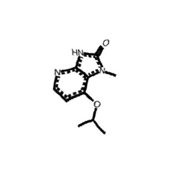 CC(C)Oc1ccnc2[nH]c(=O)n(C)c12